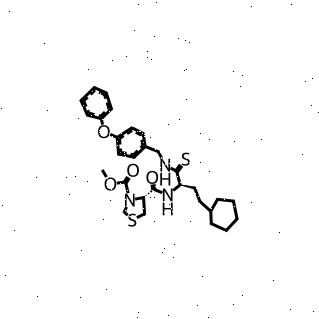 COC(=O)N1CSC[C@H]1C(=O)N[C@H](CCC1CCCCC1)C(=S)NCc1ccc(Oc2ccccc2)cc1